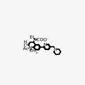 CCN(C(=O)[O-])C1C[C@H](C)[N@+](C)(C(C)=O)c2ccc(-c3ccc(CN4CCCCC4)cn3)cc21